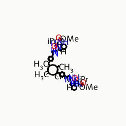 C/C=C1\C=C(\c2ccc(-c3c[nH]c([C@@H]4C[C@@H]5CCCC[C@@H]5N4C(=O)[C@@H](NC(=O)OC)C(C)C)n3)cc2)[C@H](C)CC[C@@H](C)/C=C\C(=C(/C)c2ccc(-c3c[nH]c([C@@H]4C[C@@H]5CCCC[C@@H]5N4C(=O)[C@@H](NC(=O)OC)C(C)C)n3)cc2)CC1